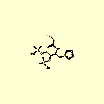 CC(C)(C)OC(=O)N[C@@H](Cn1ccnc1)[C@@H](CO[Si](C)(C)C(C)(C)C)O[Si](C)(C)C(C)(C)C